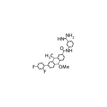 CO[C@@H]1c2ccc(C(=O)Nc3cccc(C(=N)N)c3)cc2[C@H](C)c2cc(-c3ccc(F)cc3F)ccc21